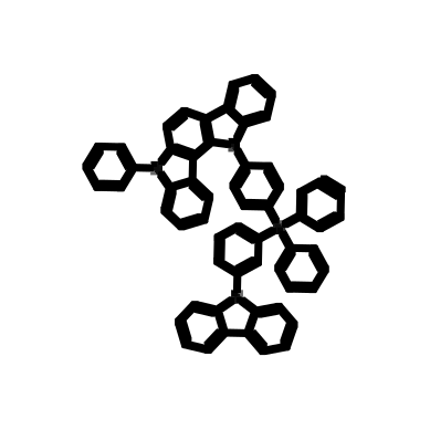 c1ccc([Si](c2ccccc2)(c2ccc(-n3c4ccccc4c4ccc5c(c6ccccc6n5-c5ccccc5)c43)cc2)c2cccc(-n3c4ccccc4c4ccccc43)c2)cc#1